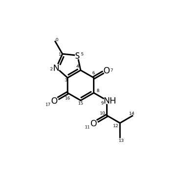 Cc1nc2c(s1)C(=O)C(NC(=O)C(C)C)=CC2=O